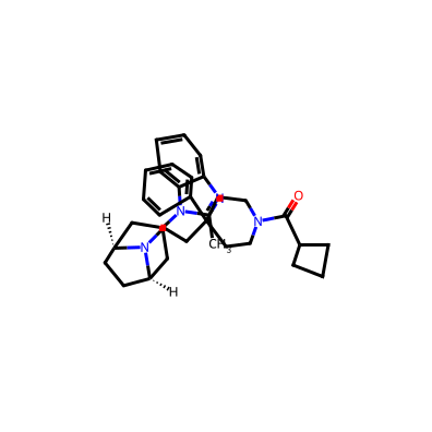 Cc1nc2ccccc2n1C1C[C@H]2CC[C@@H](C1)N2CCC1(c2ccccc2)CCN(C(=O)C2CCC2)CC1